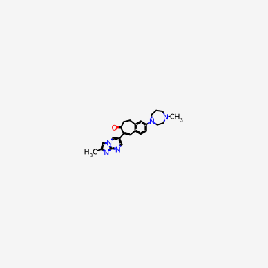 Cc1cn2cc(C3=Cc4ccc(N5CCCN(C)CC5)cc4CCC3=O)cnc2n1